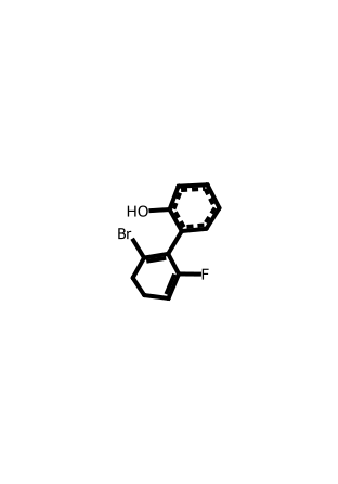 Oc1ccccc1C1=C(Br)CCC=C1F